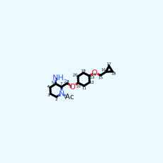 CC(=O)N1CCCC(N)C1COC1CCC(OCC2CC2)CC1